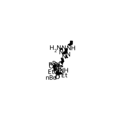 C=CCNc1nc(N)nc2c1ncn2CCOCP(=O)(N[C@@H](CC)C(=O)OCCCC)N[C@@H](CC)C(=O)OCCCC